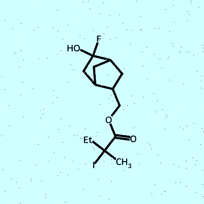 CCC(C)(I)C(=O)OCC1CC2CC1CC2(O)F